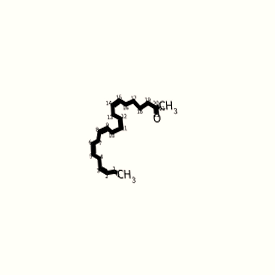 CC/C=C\C/C=C\C/C=C\C/C=C\C/C=C\CCCCC(C)=O